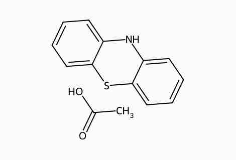 CC(=O)O.c1ccc2c(c1)Nc1ccccc1S2